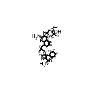 CCOCc1nc2c(N)nc3c(CC(C)Cn4cnc5c(N)nc6ccccc6c54)cccc3c2n1CC(C)(C)O